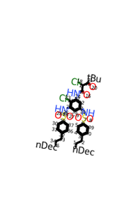 CCCCCCCCCCCCc1ccc(S(=O)(=O)Nc2cc(NC(=O)C(Cl)C(=O)C(C)(C)C)c(Cl)c(NS(=O)(=O)c3ccc(CCCCCCCCCCCC)cc3)c2)cc1